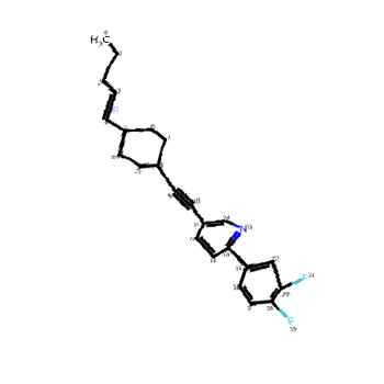 CCC/C=C/C1CCC(C#Cc2ccc(-c3ccc(F)c(F)c3)nc2)CC1